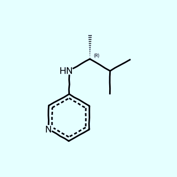 CC(C)[C@@H](C)Nc1cccnc1